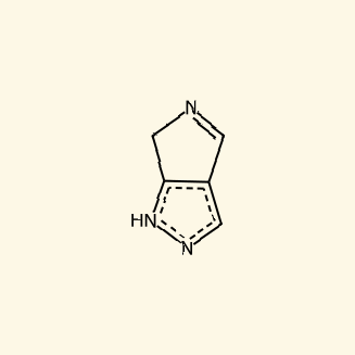 C1=NCc2[nH]ncc21